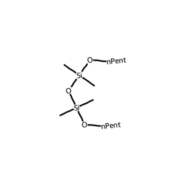 CCCCCO[Si](C)(C)O[Si](C)(C)OCCCCC